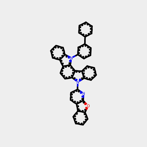 c1ccc(-c2cccc(-n3c4ccccc4c4ccc5c(c6ccccc6n5-c5ccc6c(n5)oc5ccccc56)c43)c2)cc1